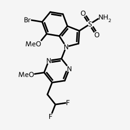 COc1nc(-n2cc(S(N)(=O)=O)c3ccc(Br)c(OC)c32)ncc1CC(F)F